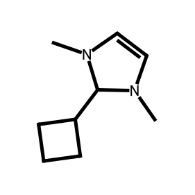 CN1C=CN(C)C1C1CCC1